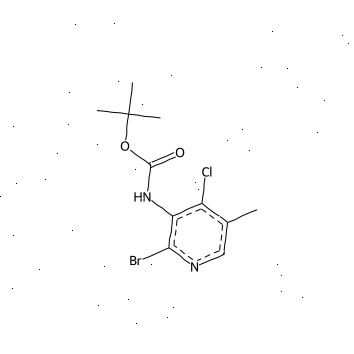 Cc1cnc(Br)c(NC(=O)OC(C)(C)C)c1Cl